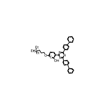 CC[Si](CC)(CC)CCCOc1ccc(-c2nc(-c3ccc(-c4ccccc4)cc3)nc(-c3ccc(-c4ccccc4)cc3)n2)c(O)c1